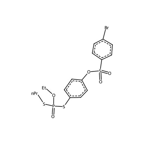 CCCSP(=O)(OCC)Sc1ccc(OS(=O)(=O)c2ccc(Br)cc2)cc1